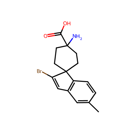 Cc1ccc2c(c1)C=C(Br)C21CCC(N)(C(=O)O)CC1